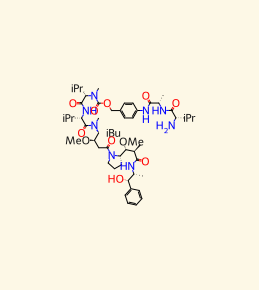 CC[C@H](C)[C@@H]([C@@H](CC(=O)N1CCC[C@H]1[C@H](OC)[C@@H](C)C(=O)N[C@H](C)[C@@H](O)c1ccccc1)OC)N(C)C(=O)[C@@H](NC(=O)[C@H](C(C)C)N(C)C(=O)OCc1ccc(NC(=O)[C@H](C)NC(=O)[C@@H](N)C(C)C)cc1)C(C)C